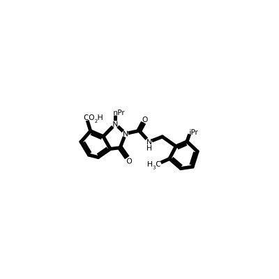 CCCn1c2c(C(=O)O)cccc2c(=O)n1C(=O)NCc1c(C)cccc1C(C)C